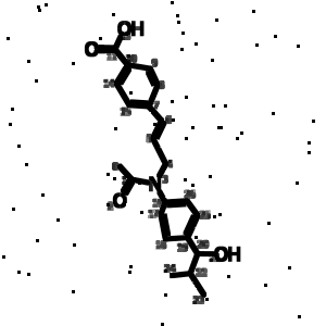 CC(=O)N(C/C=C/c1ccc(C(=O)O)cc1)c1ccc(C(O)C(C)C)cc1